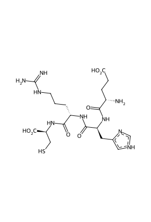 N=C(N)NCCC[C@H](NC(=O)[C@H](Cc1c[nH]cn1)NC(=O)[C@@H](N)CCC(=O)O)C(=O)N[C@@H](CS)C(=O)O